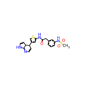 CS(=O)(=O)Nc1cccc(CC(=O)Nc2cc(C3C=CN=C4NC=CC43)cs2)c1